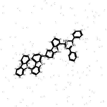 c1ccc(C2=NC(c3ccccc3)NC(c3cccc4c3sc3ccc(-c5cccc6c5sc5cccc(-n7c8ccccc8c8ccccc87)c56)cc34)=N2)cc1